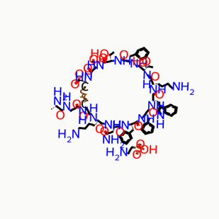 CC(O)[C@@H]1NC(=O)[C@H](Cc2ccccc2)NC(=O)[C@H](C(C)O)NC(=O)[C@H](CCCCN)NC(=O)[C@H](Cc2c[nH]c3ccccc23)NC(=O)[C@H](Cc2ccccc2)NC(=O)[C@H](Cc2ccccc2)NC(=O)[C@H](CC(N)=O)NC(=O)[C@H](CCCCN)NC(=O)[C@@H](NC(=O)CNC(=O)[C@H](C)N)CSSC[C@@H](C(=O)O)NC(=O)[C@H](CO)NC1=O.NCCS(=O)(=O)O